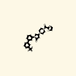 O=C(c1nccs1)N1CCN(C2CC(=O)N(c3cccc(-c4cccc(C(F)(F)F)c4)c3)C2)CC1